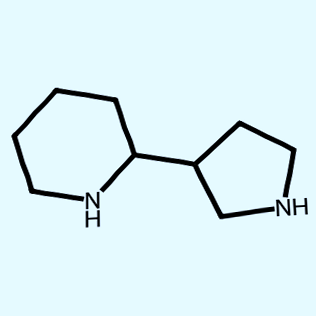 C1CCC(C2CCNC2)NC1